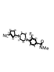 CNC(=O)c1ccc(N2CCN(C3C=C(C#N)CC3)CC2)c(F)c1